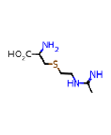 CC(=N)NCCSCC(N)C(=O)O